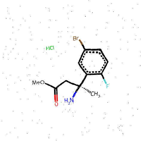 COC(=O)C[C@](C)(N)c1cc(Br)ccc1F.Cl